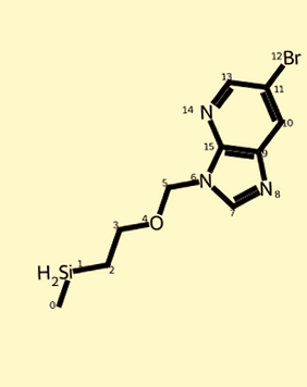 C[SiH2]CCOCn1cnc2cc(Br)cnc21